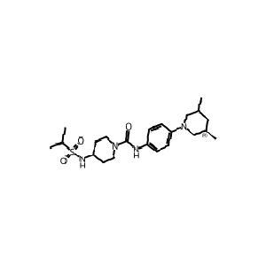 CC1C[C@@H](C)CN(c2ccc(NC(=O)N3CCC(NS(=O)(=O)C(C)C)CC3)cc2)C1